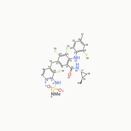 CNS(=O)(=O)Nc1nccc(Cc2cc(C(=O)N[C@@H]3C[C@H]3C)c(Nc3ccc(C)cc3F)c(F)c2F)c1F